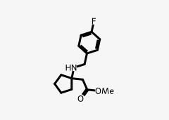 COC(=O)CC1(NCc2ccc(F)cc2)CCCC1